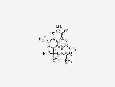 CC(=NOC(=O)N(C)Sc1ccc(C(C)(C)C)cc1C)SCC(N)=O